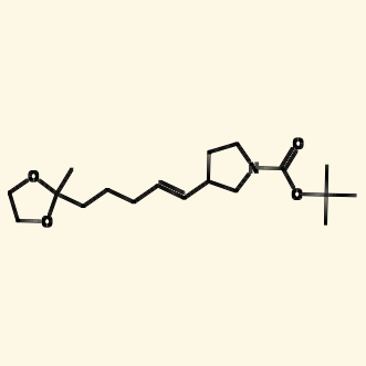 CC(C)(C)OC(=O)N1CCC(C=CCCCC2(C)OCCO2)C1